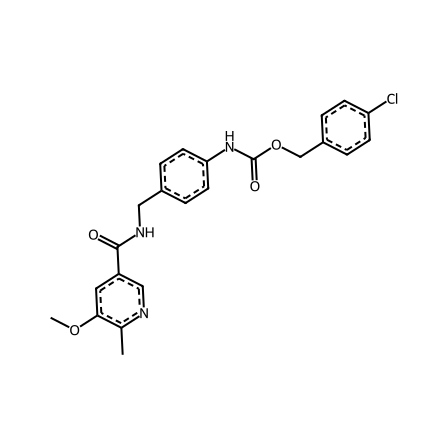 COc1cc(C(=O)NCc2ccc(NC(=O)OCc3ccc(Cl)cc3)cc2)cnc1C